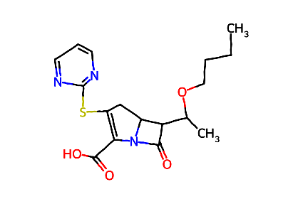 CCCCOC(C)C1C(=O)N2C(C(=O)O)=C(Sc3ncccn3)CC12